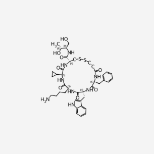 C[C@@H](O)[C@@H](CO)NC(=O)[C@@H]1CSSCCC(=O)N[C@@H](Cc2ccccc2)C(=O)N[C@H](Cc2c[nH]c3ccccc23)C(=O)N[C@@H](CCCCN)C(=O)N[C@@H](C2CC2)C(=O)N1